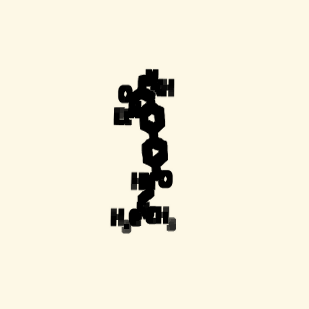 CCn1c(=O)c2cn[nH]c2c2ccc(-c3ccc(C(=O)NCCN(C)C)cc3)cc21